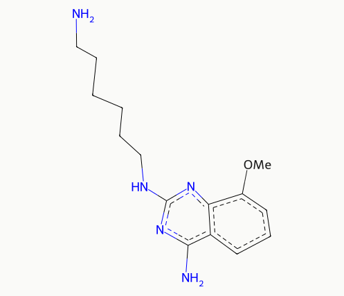 COc1cccc2c(N)nc(NCCCCCCN)nc12